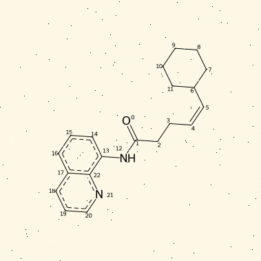 O=C(CC/C=C\C1CCCCC1)Nc1cccc2cccnc12